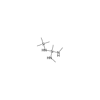 CN[Si](C)(NC)N[Si](C)(C)C